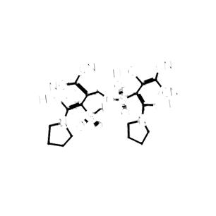 CC(=C(C#N)C#N)/C(=C(\C)N1CCCC1)S(=O)(=O)OCC(=C(C#N)C#N)/C(=C(\C)N1CCCC1)S(=O)(=O)I